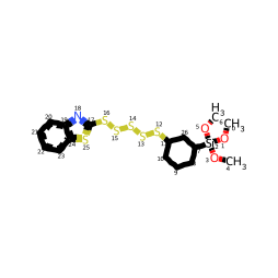 CO[Si](OC)(OC)C1CCCC(SSSSSc2nc3ccccc3s2)C1